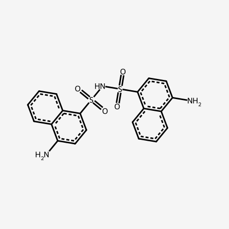 Nc1ccc(S(=O)(=O)NS(=O)(=O)c2ccc(N)c3ccccc23)c2ccccc12